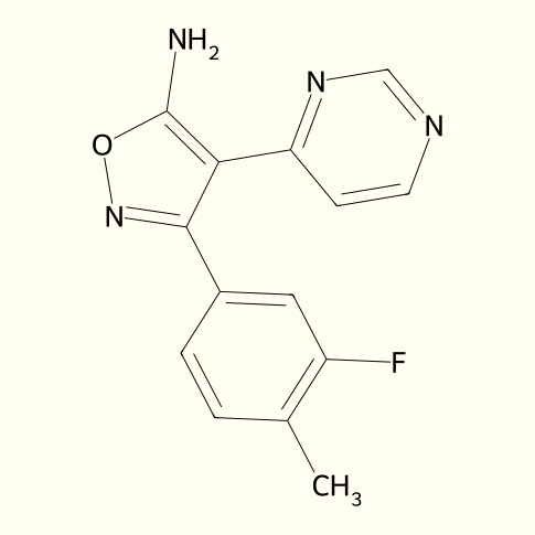 Cc1ccc(-c2noc(N)c2-c2ccncn2)cc1F